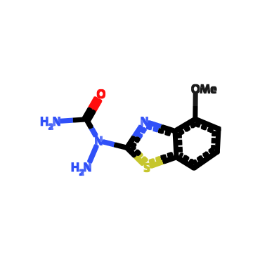 COc1cccc2sc(N(N)C(N)=O)nc12